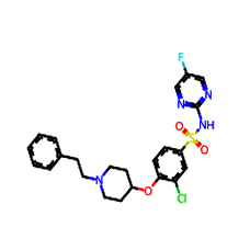 O=S(=O)(Nc1ncc(F)cn1)c1ccc(OC2CCN(CCc3ccccc3)CC2)c(Cl)c1